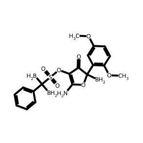 BC1(c2cc(OC)ccc2OC)OC(N)=C(OS(=O)(=O)C(B)(B)c2ccccc2)C1=O